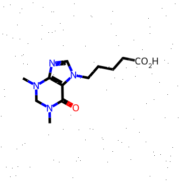 CN1CN(C)c2ncn(CCCCC(=O)O)c2C1=O